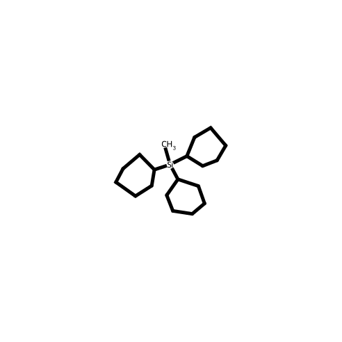 C[Si](C1CCCCC1)(C1CCCCC1)C1CCCCC1